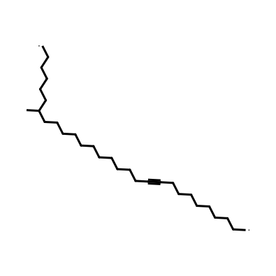 [CH2]CCCCCCCCC#CCCCCCCCCCCCC(C)CCCCC[CH2]